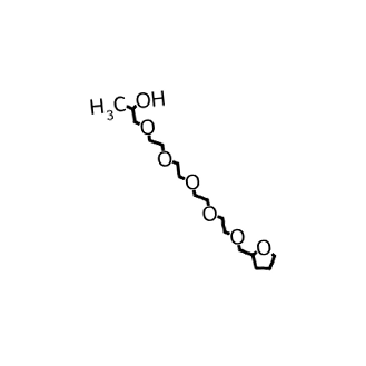 CC(O)COCCOCCOCCOCCOCC1CCCO1